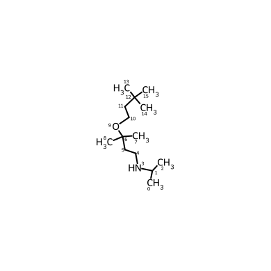 CC(C)NCCC(C)(C)OCCC(C)(C)C